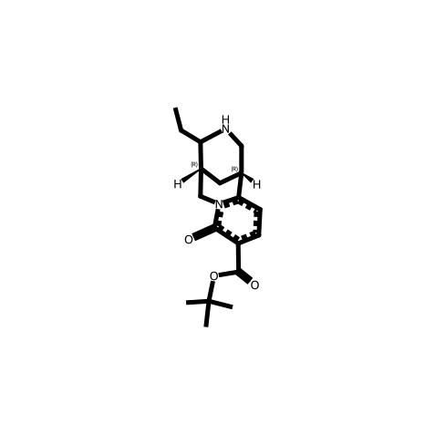 CCC1NC[C@H]2C[C@@H]1Cn1c2ccc(C(=O)OC(C)(C)C)c1=O